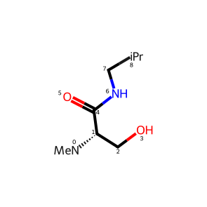 CN[C@@H](CO)C(=O)NCC(C)C